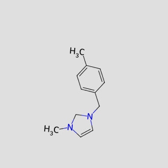 Cc1ccc(CN2C=CN(C)C2)cc1